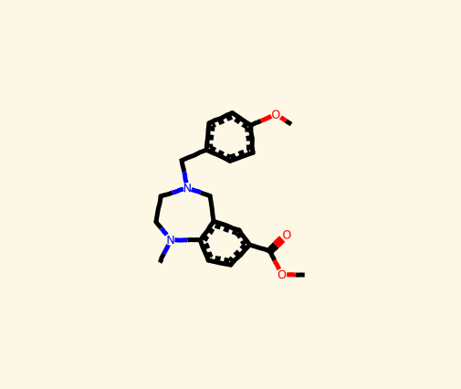 COC(=O)c1ccc2c(c1)CN(Cc1ccc(OC)cc1)CCN2C